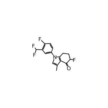 Cc1cn(-c2ccc(F)c(C(F)F)c2)c2c1C(=O)C(F)CC2